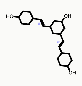 OC1CCC(/C=C/C2CC(O)CC(/C=C/C3CCC(O)CC3)C2)CC1